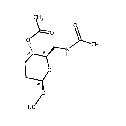 CO[C@H]1CC[C@H](OC(C)=O)[C@@H](CNC(C)=O)O1